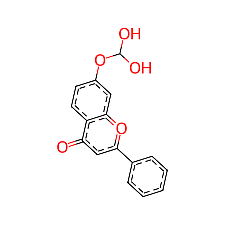 O=c1cc(-c2ccccc2)oc2cc(OC(O)O)ccc12